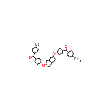 CCc1ccc(C(=O)c2ccc(Oc3ccc4ccc(Oc5ccc(C(=O)c6ccc(C)cc6)cc5)cc4c3)cc2)cc1